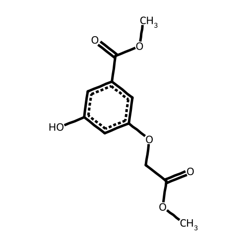 COC(=O)COc1cc(O)cc(C(=O)OC)c1